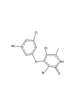 CCc1c(C)[nH]c(=O)c(Br)c1Oc1cc(Cl)cc(C#N)c1